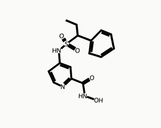 CCC(c1ccccc1)S(=O)(=O)Nc1ccnc(C(=O)NO)c1